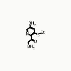 BCC(=O)c1ncc(B)cc1SCC